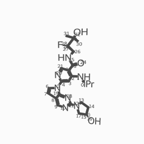 CC(C)Nc1cc(-n2ccc3cnc(N4CC[C@@H](O)C4)nc32)ncc1C(=O)NC[C@@H](F)C(C)(C)O